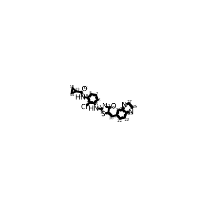 O=C1N=C(Nc2cccc(NC(=O)C3CC3)c2Cl)SC1=Cc1ccc2nccnc2c1